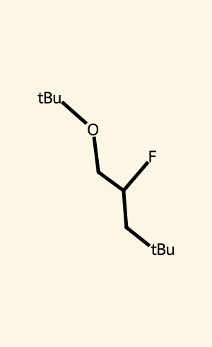 CC(C)(C)CC(F)COC(C)(C)C